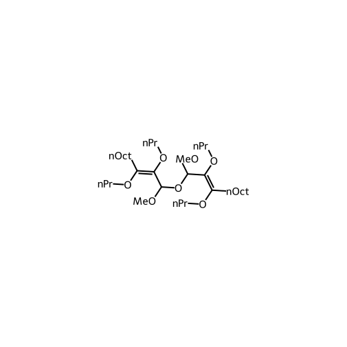 CCCCCCCCC(OCCC)=C(OCCC)C(OC)OC(OC)C(OCCC)=C(CCCCCCCC)OCCC